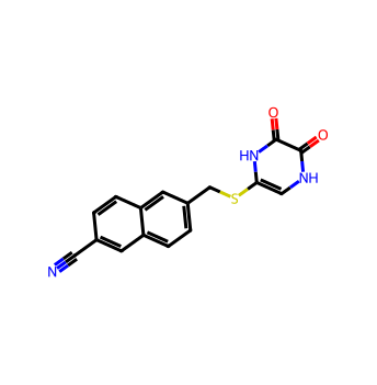 N#Cc1ccc2cc(CSc3c[nH]c(=O)c(=O)[nH]3)ccc2c1